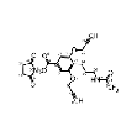 C#CCOc1cc(C(=O)ON2C(=O)CCC2=O)cc(OCC#C)c1CCCNC(=O)C(F)(F)F